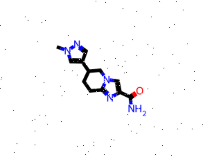 Cn1cc(C2CCc3nc(C(N)=O)cn3C2)cn1